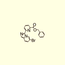 O=C(OCc1ccccc1)c1cccc(-c2ncc3ccc(Br)cn23)n1